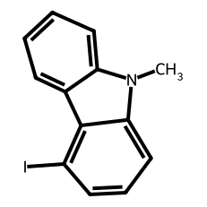 Cn1c2ccccc2c2c(I)cccc21